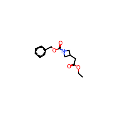 CCOC(=O)CC1CN(C(=O)OCc2ccccc2)C1